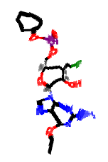 CCOc1nc(N)nc2c1ncn2[C@@H]1O[C@H](CO[PH](=O)Oc2ccccc2)[C@@H](CF)[C@H]1O